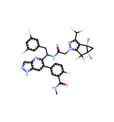 CNC(=O)c1cc(-c2cc3[nH]ncc3nc2C(Cc2cc(F)cc(F)c2)NC(=O)Cn2nc(C(F)F)c3c2C(F)(F)[C@@H]2C[C@H]32)ccc1F